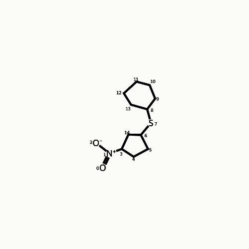 O=[N+]([O-])C1CCC(SC2CCCCC2)C1